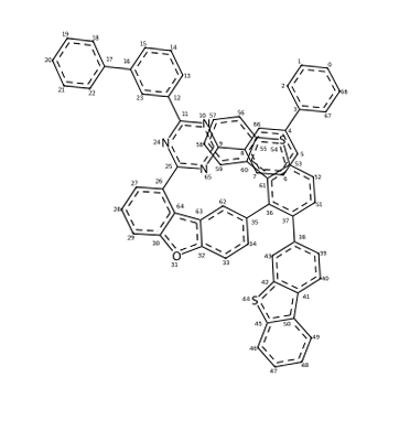 c1ccc(-c2cccc(-c3nc(-c4cccc(-c5ccccc5)c4)nc(-c4cccc5oc6ccc(-c7c(-c8ccc9c(c8)sc8ccccc89)ccc8sc9ccccc9c78)cc6c45)n3)c2)cc1